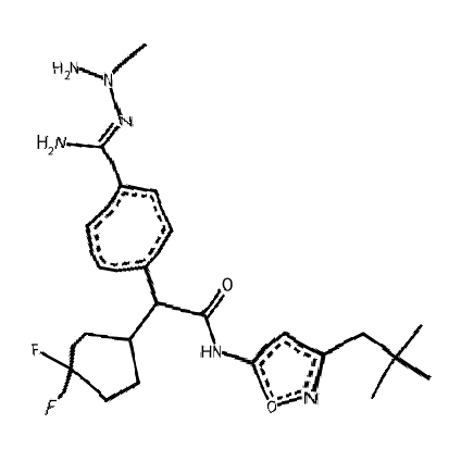 CN(N)/N=C(\N)c1ccc(C(C(=O)Nc2cc(CC(C)(C)C)no2)C2CCC(F)(F)C2)cc1